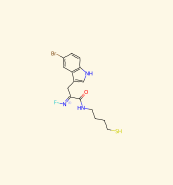 O=C(NCCCCS)/C(Cc1c[nH]c2ccc(Br)cc12)=N/F